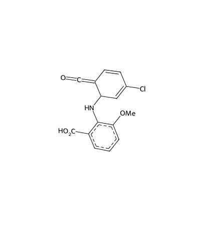 COc1cccc(C(=O)O)c1NC1C=C(Cl)C=CC1=C=O